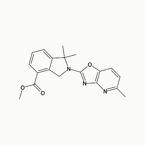 COC(=O)c1cccc2c1CN(c1nc3nc(C)ccc3o1)C2(C)C